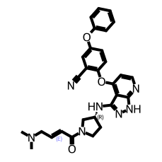 CN(C)C/C=C/C(=O)N1CC[C@@H](Nc2n[nH]c3nccc(Oc4ccc(Oc5ccccc5)cc4C#N)c23)C1